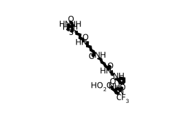 O=C(O)NCc1cc(Oc2cccc(C(=O)NCCNC(=O)CCCCCNC(=O)CCCCCNC(=O)CCCC[C@@H]3SC[C@@H]4NC(=O)N[C@@H]43)c2)nc(C(F)(F)F)c1